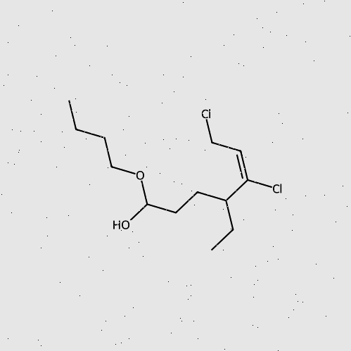 CCCCOC(O)CCC(CC)/C(Cl)=C\CCl